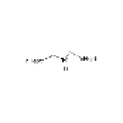 CCCCCCCC[N-]CCCCCCCC.[Li+]